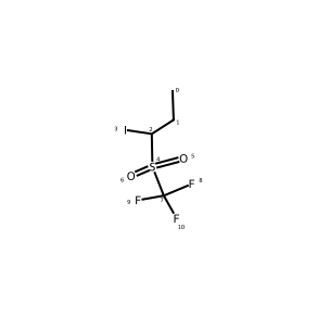 CCC(I)S(=O)(=O)C(F)(F)F